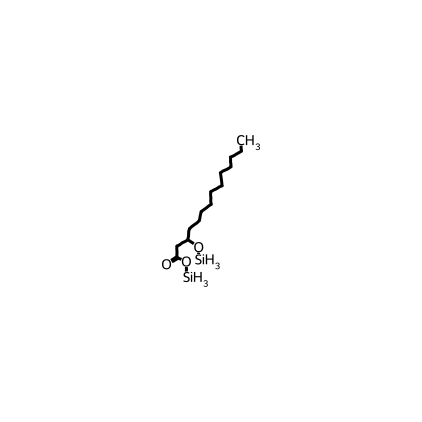 CCCCCCCCCCCC(CC(=O)O[SiH3])O[SiH3]